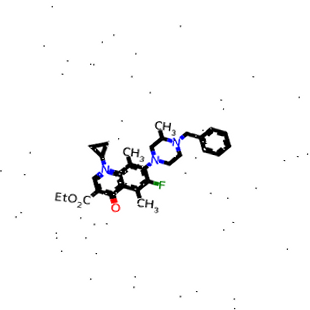 CCOC(=O)c1cn(C2CC2)c2c(C)c(N3CCN(Cc4ccccc4)C(C)C3)c(F)c(C)c2c1=O